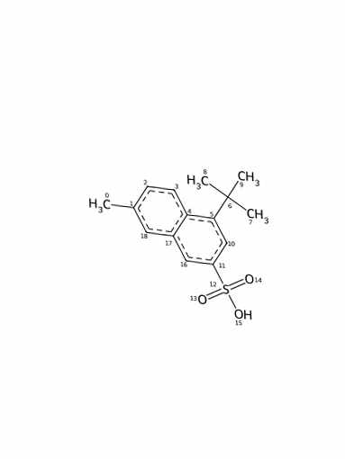 Cc1ccc2c(C(C)(C)C)cc(S(=O)(=O)O)cc2c1